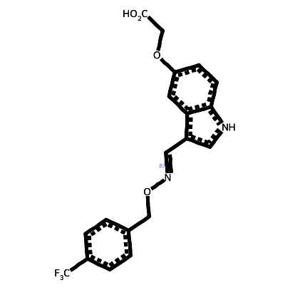 O=C(O)COc1ccc2[nH]cc(/C=N/OCc3ccc(C(F)(F)F)cc3)c2c1